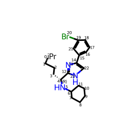 CC(C)CCC[C@@H](NC1CCCCC1)c1nc(-c2cccc(Br)c2)c[nH]1